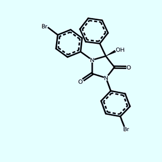 O=C1N(c2ccc(Br)cc2)C(=O)[C@@](O)(c2ccccc2)N1c1ccc(Br)cc1